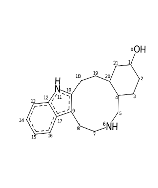 OC1CCC2CNCCc3c([nH]c4ccccc34)CCC2C1